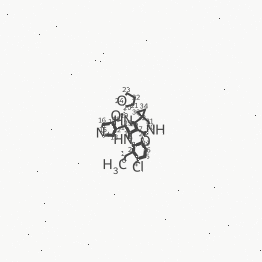 CCc1c(Cl)cccc1Nc1c(-c2ccncc2OC[C@H]2CCCO2)[nH]c2c1C(=O)NCC21CC1